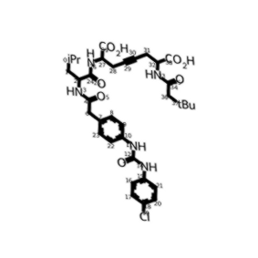 CC(C)CC(NC(=O)Cc1ccc(NC(=O)Nc2ccc(Cl)cc2)cc1)C(=O)NC(CC#CCC(NC(=O)CC(C)(C)C)C(=O)O)C(=O)O